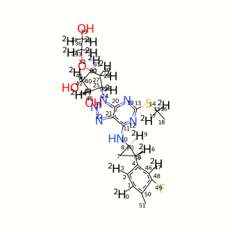 [2H]c1c([2H])c([C@]2([2H])C[C@@]2([2H])Nc2nc(SC([2H])([2H])C)nc3c2nnn3[C@]2([2H])C([2H])([2H])[C@]([2H])(OC([2H])([2H])C([2H])([2H])O)[C@@]([2H])(O)[C@@]2([2H])O)c([2H])c(F)c1C